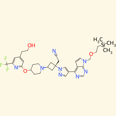 C[Si](C)(C)CCOCn1ccc2c(-c3cnn([C@]4(CC#N)C[C@@H](N5CCC(Oc6cc(CCO)cc(C(F)(F)F)n6)CC5)C4)c3)ncnc21